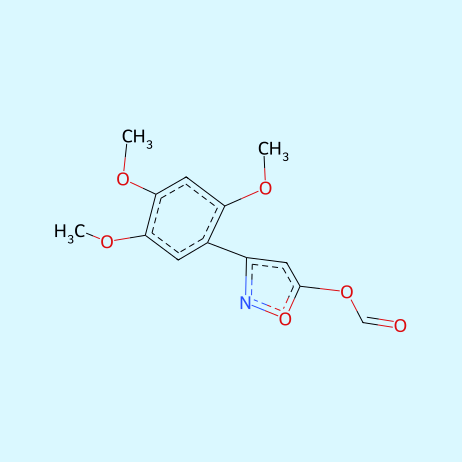 COc1cc(OC)c(-c2cc(OC=O)on2)cc1OC